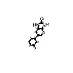 Cc1cccc(-c2cnc3[nH]c(=O)[nH]c3c2)c1